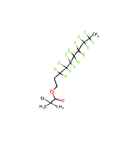 CCC(C)(C)C(=O)OCCC(F)(F)C(F)(F)C(F)(F)C(F)(F)C(F)(F)C(F)(F)C(F)(F)C(F)(F)F